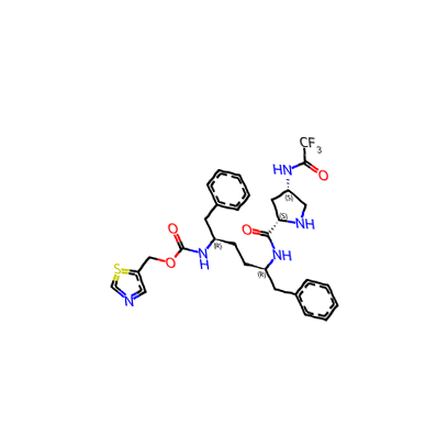 O=C(N[C@H](CC[C@H](Cc1ccccc1)NC(=O)[C@@H]1C[C@H](NC(=O)C(F)(F)F)CN1)Cc1ccccc1)OCc1cncs1